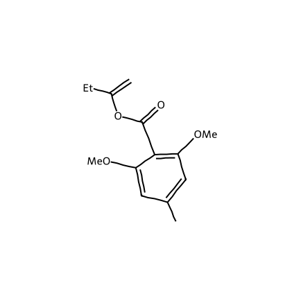 C=C(CC)OC(=O)c1c(OC)cc(C)cc1OC